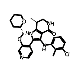 Cc1c(Cl)cccc1Nc1c(-c2ccncc2OC[C@@H]2CCCCO2)[nH]c2c1C(=O)NC[C@H]2C